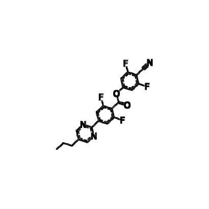 CCCc1cnc(-c2cc(F)c(C(=O)Oc3cc(F)c(C#N)c(F)c3)c(F)c2)nc1